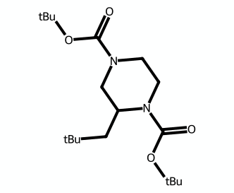 CC(C)(C)CC1CN(C(=O)OC(C)(C)C)CCN1C(=O)OC(C)(C)C